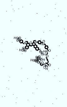 O=C(NCCOCC#CCc1cn([C@H]2CC[C@@H](COP(OO)(OOO)(P(=O)=O)P(=O)=O)O2)c(=O)[nH]c1=O)c1ccc(CNC(=O)c2ccc(N3CCc4c5c(c6cc7ccc(SOOO)cc7cc6c43)C=c3c(c4c(c6cc(S(=O)(=O)O)ccc36)=[N+](Cc3ccc(S(=O)(=O)O)cc3)CC4)O5)cc2)cc1